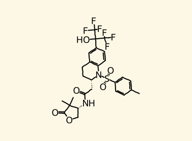 Cc1ccc(S(=O)(=O)N2c3ccc(C(O)(C(F)(F)F)C(F)(F)F)cc3CC[C@H]2CC(=O)N[C@@H]2COC(=O)C2(C)C)cc1